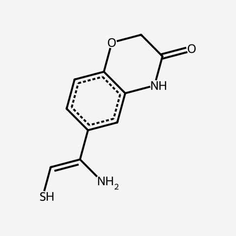 N/C(=C\S)c1ccc2c(c1)NC(=O)CO2